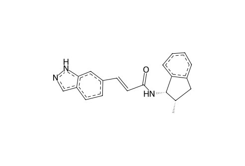 C[C@H]1Cc2ccccc2[C@H]1NC(=O)/C=C/c1ccc2cn[nH]c2c1